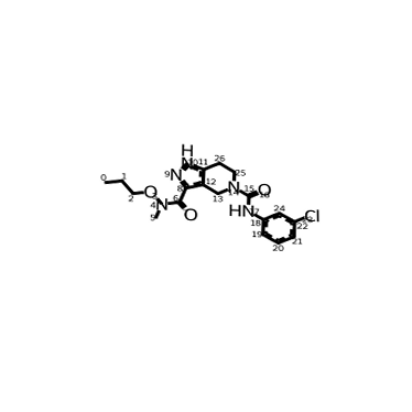 CCCON(C)C(=O)c1n[nH]c2c1CN(C(=O)Nc1cccc(Cl)c1)CC2